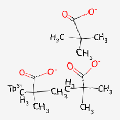 CC(C)(C)C(=O)[O-].CC(C)(C)C(=O)[O-].CC(C)(C)C(=O)[O-].[Tb+3]